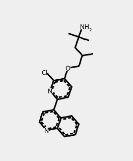 CC(COc1ccc(-c2ccnc3ccccc23)nc1Cl)CC(C)(C)N